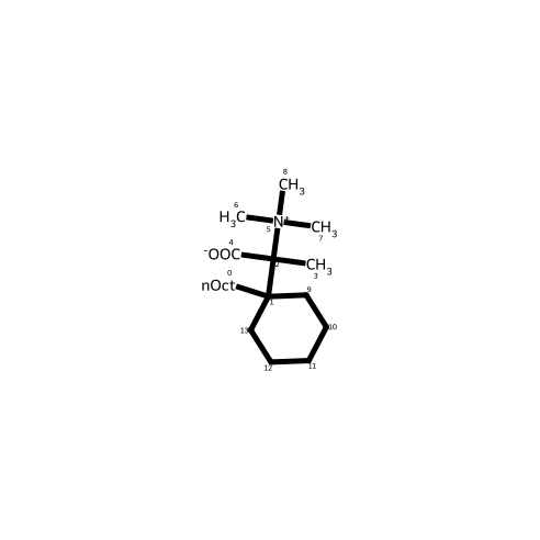 CCCCCCCCC1(C(C)(C(=O)[O-])[N+](C)(C)C)CCCCC1